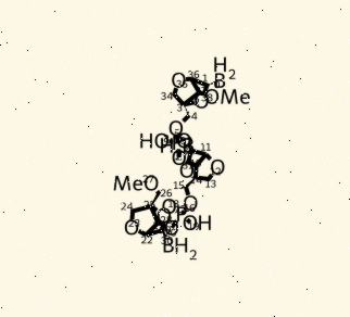 B[C@@H]1O[C@@]2(COP(=O)(O)OC3C4OC[C@]3(COP(=O)(O)OC3C5OC[C@]3(COC)O[C@H]5B)O[C@H]4B)COC1C2OC